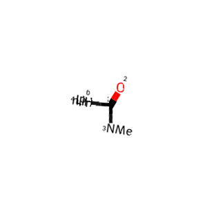 CCCC(=O)NC.[LiH]